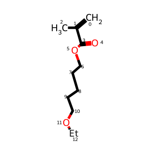 C=C(C)C(=O)OCCCCCOCC